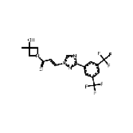 CC1(O)CN(C(=O)C=Cn2cnc(-c3cc(C(F)(F)F)cc(C(F)(F)F)c3)n2)C1